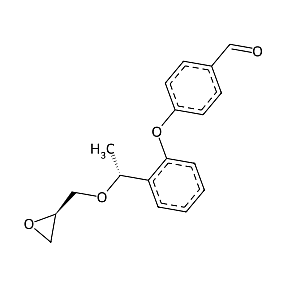 C[C@@H](OC[C@H]1CO1)c1ccccc1Oc1ccc(C=O)cc1